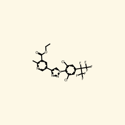 CCOC(=O)c1cc(-c2cn(-c3c(Cl)cc(C(F)(C(F)(F)F)C(F)(F)F)cc3Cl)nn2)cnc1C